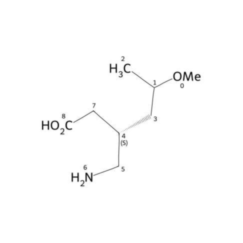 COC(C)C[C@H](CN)CC(=O)O